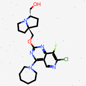 OC[C@@H]1CC[C@]2(COc3nc(N4CCCCCC4)c4cnc(Cl)c(F)c4n3)CCCN12